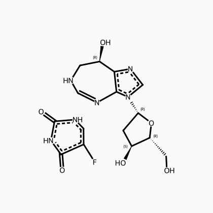 O=c1[nH]cc(F)c(=O)[nH]1.OC[C@H]1O[C@@H](n2cnc3c2N=CNC[C@H]3O)C[C@@H]1O